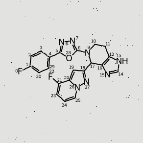 Fc1ccc(-c2nnc(N3CCc4[nH]cnc4C3c3cc4c(F)cccn4n3)o2)cc1